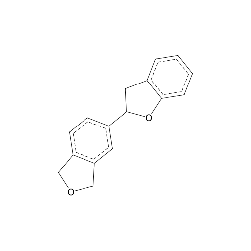 c1ccc2c(c1)CC(c1ccc3c(c1)COC3)O2